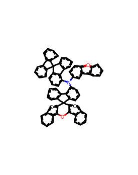 c1ccc2c(c1)-c1ccccc1C21c2ccccc2-c2c(N(c3ccc4oc5ccccc5c4c3)c3cccc4c3-c3ccccc3C43c4ccc5ccccc5c4Oc4c3ccc3ccccc43)cccc21